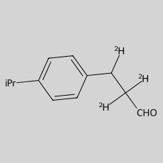 [2H]C(c1ccc(C(C)C)cc1)C([2H])([2H])C=O